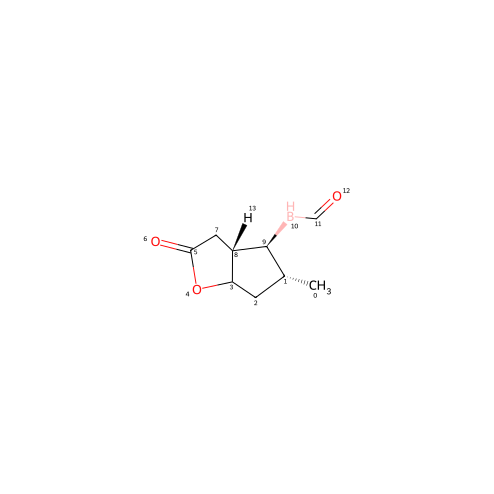 C[C@@H]1CC2OC(=O)C[C@@H]2[C@H]1BC=O